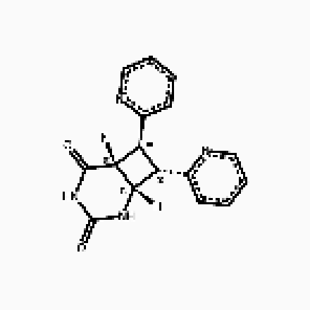 O=C1NC(=O)[C@@]2(F)[C@@H](N1)[C@@H](c1ccccn1)[C@@H]2c1ccccn1